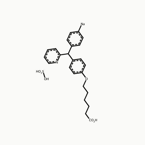 O=C(O)CCCCCOc1ccc(C(c2cc[c]([Na])cc2)c2ccccn2)cc1.O=S(=O)(O)O